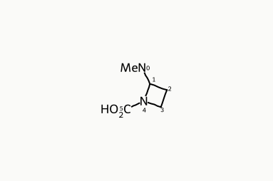 CNC1CCN1C(=O)O